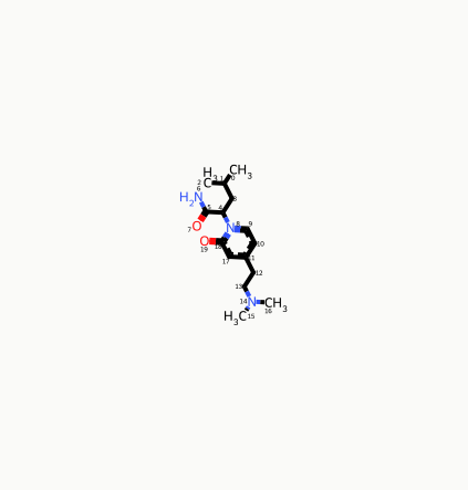 CC(C)CC(C(N)=O)n1ccc(CCN(C)C)cc1=O